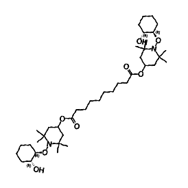 CC1(C)CC(OC(=O)CCCCCCCCC(=O)OC2CC(C)(C)N(O[C@@H]3CCCC[C@H]3O)C(C)(C)C2)CC(C)(C)N1O[C@@H]1CCCC[C@H]1O